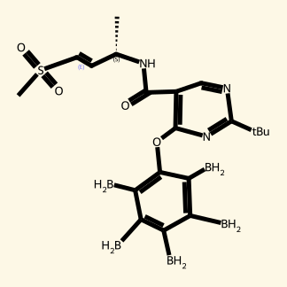 Bc1c(B)c(B)c(Oc2nc(C(C)(C)C)ncc2C(=O)N[C@@H](C)/C=C/S(C)(=O)=O)c(B)c1B